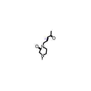 CC(=O)/C=C/CN1CCN(I)CC1=O